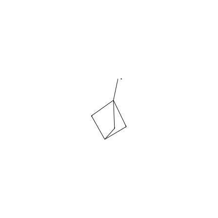 [CH2]C12CC(C1)C2